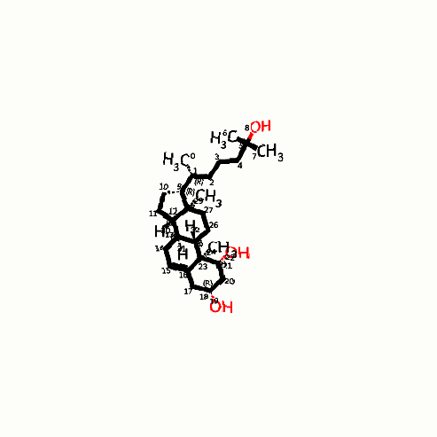 C[C@H](CCCC(C)(C)O)[C@H]1CC[C@H]2[C@@H]3CC=C4C[C@@H](O)C[C@@H](O)[C@]4(C)[C@H]3CC[C@]12C